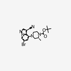 C[C@H]1CN(c2cc(Br)cn3ncc(C#N)c23)CCN1C(=O)OC(C)(C)C